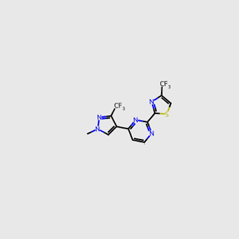 Cn1cc(-c2c[c]nc(-c3nc(C(F)(F)F)cs3)n2)c(C(F)(F)F)n1